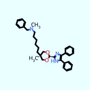 CN(CCCCCC[C@]1(C)CO[C@H](c2nc(-c3ccccc3)c(-c3ccccc3)[nH]2)OC1)Cc1ccccc1